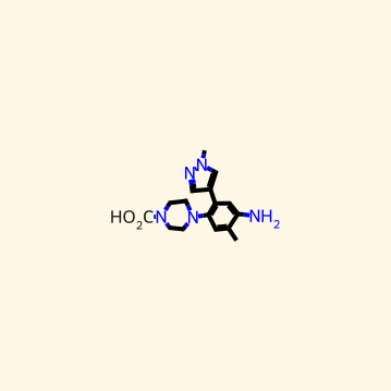 Cc1cc(N2CCN(C(=O)O)CC2)c(-c2cnn(C)c2)cc1N